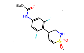 CC(C)COC(=O)Nc1cc(F)c(C2C=CS(=O)(=O)NC2)c(F)c1